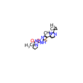 Cc1nc(NC(=O)N2CCC[C@@]2(C)C(N)=O)sc1-c1ccnc(C2(C)CC2)n1